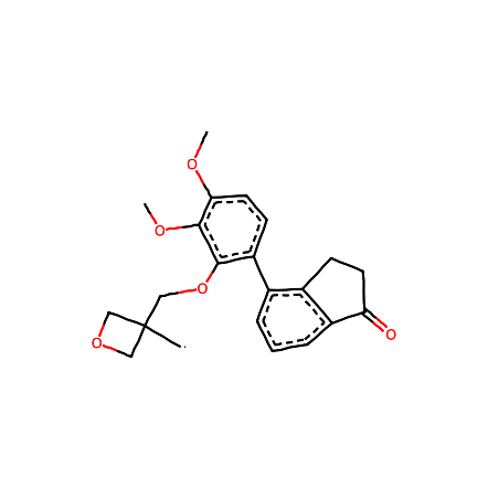 [CH2]C1(COc2c(-c3cccc4c3CCC4=O)ccc(OC)c2OC)COC1